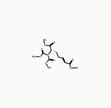 CC(C)OC(=O)C=CCC[C@@H](C(=O)OC(C)(C)C)N(C(=O)OC(C)(C)C)C(=O)OC(C)(C)C